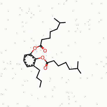 CCCCc1cccc(OC(=O)CCCCC(C)C)c1OC(=O)CCCCC(C)C